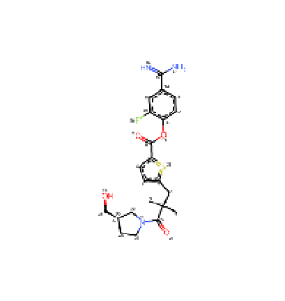 CC(C)(Cc1ccc(C(=O)Oc2ccc(C(=N)N)cc2F)s1)C(=O)N1CC[C@@H](CO)C1